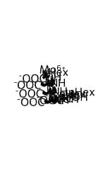 CCCCCCC(O)C(=O)[O-].CCCCCCC(O)C(=O)[O-].CCCCCCC(O)C(=O)[O-].O=C([O-])C=Cc1c[nH]cn1.O=C([O-])C=Cc1c[nH]cn1.O=C([O-])C=Cc1c[nH]cn1.[Mo+6]